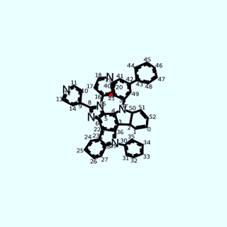 C1=CC2c3c(c4c(nc(-c5ccncc5)n4-c4ccncc4)c4c5ccccc5n(-c5ccccc5)c34)N(c3cccc(-c4ccccc4)c3)C2C=C1